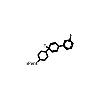 CCCCCC1CCC(C2(F)C=CC(c3cccc(F)c3)C=C2)CC1